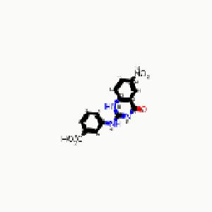 O=C(O)c1cccc(Nc2nc(=O)c3cc([N+](=O)[O-])ccc3[nH]2)c1